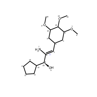 COC1CC(/C=C(\N)[C@@H](O)C2CCCC2)CC(OC)C1OC